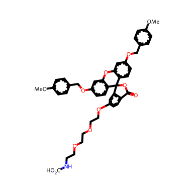 COc1ccc(COc2ccc3c(c2)Oc2cc(OCc4ccc(OC)cc4)ccc2C32OC(=O)c3ccc(OCCOCCOCCNC(=O)O)cc32)cc1